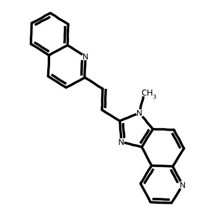 Cn1c(C=Cc2ccc3ccccc3n2)nc2c3cccnc3ccc21